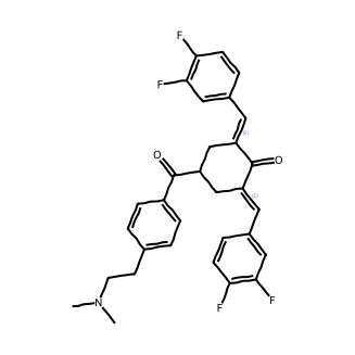 CN(C)CCc1ccc(C(=O)C2C/C(=C\c3ccc(F)c(F)c3)C(=O)/C(=C/c3ccc(F)c(F)c3)C2)cc1